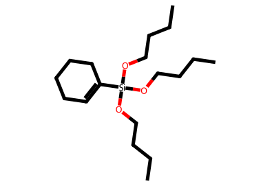 CCCCO[Si](OCCCC)(OCCCC)C1=CCCCC1